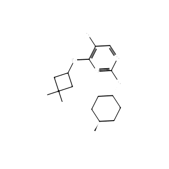 Nc1cnc(N[C@H]2CC[C@H](O)CC2)nc1NC1CC(F)(F)C1